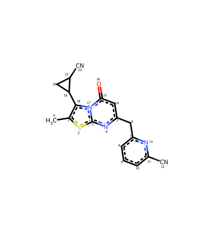 Cc1sc2nc(Cc3cccc(C#N)n3)cc(=O)n2c1C1CC1C#N